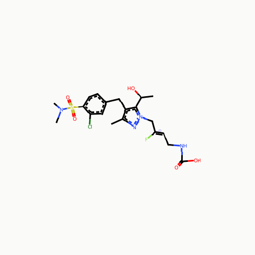 Cc1nn(C/C(F)=C/CNC(=O)O)c(C(C)O)c1Cc1ccc(S(=O)(=O)N(C)C)c(Cl)c1